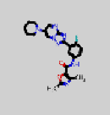 Cc1nc(C)c(C(=O)Nc2ccc(F)c(-c3nc4ncc(N5CCCCC5)cn4n3)c2)o1